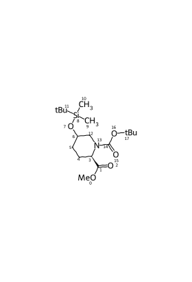 COC(=O)[C@H]1CCC(O[Si](C)(C)C(C)(C)C)CN1C(=O)OC(C)(C)C